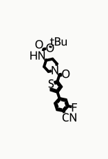 CC(C)(C)OC(=O)NC1CCN(C(=O)c2cc(-c3ccc(C#N)c(F)c3)cs2)CC1